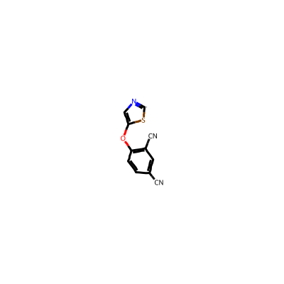 N#Cc1ccc(Oc2cn[c]s2)c(C#N)c1